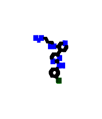 NCCCNc1cnccc1-c1ccnc(Nc2cccc(Cl)c2)n1